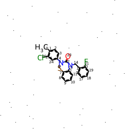 Cc1ccc(N2Sc3ccccc3N(Cc3ccccc3F)C2=O)cc1Cl